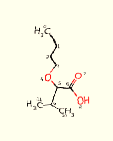 CCCCOC(C(=O)O)C(C)C